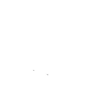 CC(C)(CCCCCCO[N+](=O)[O-])c1cc(OC(=O)/C=C/C(=O)O)c2c(c1)OC(C)(C)[C@H]1CCC(=O)C[C@@H]21